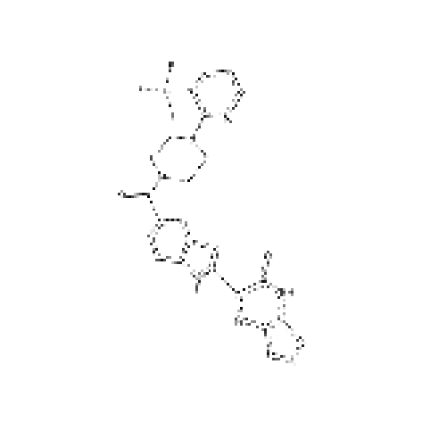 O=C(c1ccc2[nH]c(-c3nc4cscc4[nH]c3=O)cc2c1)N1CCN(c2ncccc2C(F)(F)F)CC1